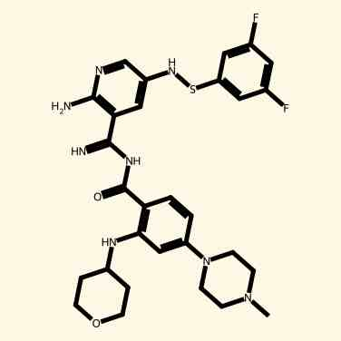 CN1CCN(c2ccc(C(=O)NC(=N)c3cc(NSc4cc(F)cc(F)c4)cnc3N)c(NC3CCOCC3)c2)CC1